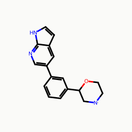 c1cc(-c2cnc3[nH]ccc3c2)cc(C2C[N]CCO2)c1